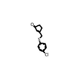 O=C1C=C(CSc2ccc(Cl)cc2)CC1